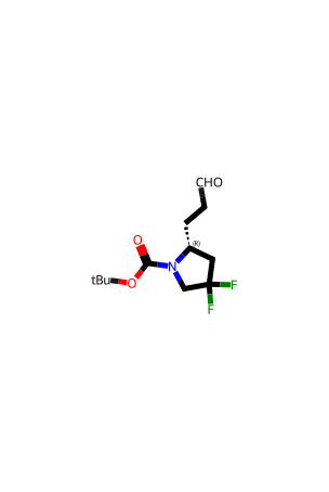 CC(C)(C)OC(=O)N1CC(F)(F)C[C@H]1CCC=O